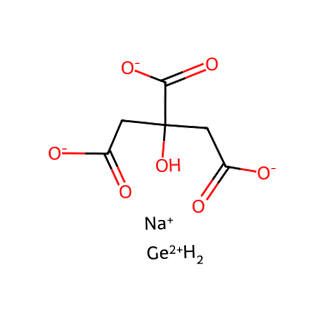 O=C([O-])CC(O)(CC(=O)[O-])C(=O)[O-].[GeH2+2].[Na+]